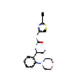 C#Cc1nc(NC(=O)NC(CO)c2ccccc2N2CCOCC2)cs1